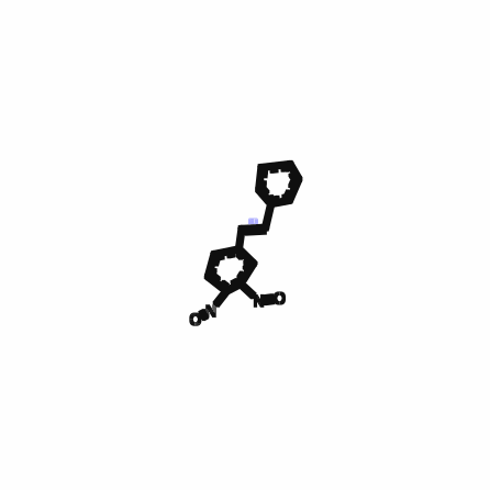 O=Nc1ccc(/C=C/c2ccccc2)cc1N=O